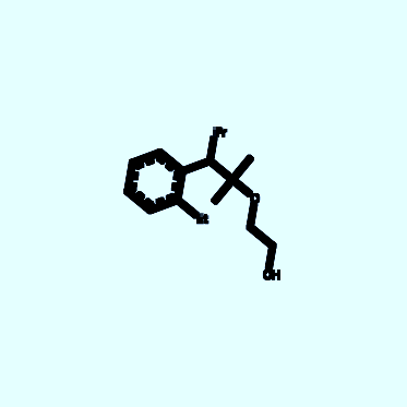 CCc1ccccc1C(C(C)C)C(C)(C)OCCO